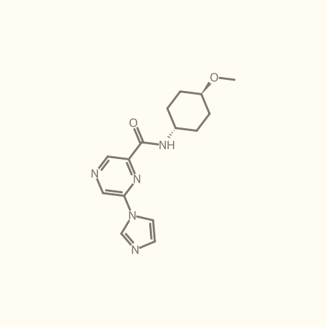 CO[C@H]1CC[C@H](NC(=O)c2cncc(-n3ccnc3)n2)CC1